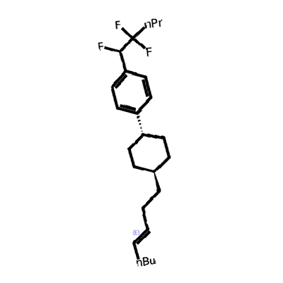 CCCC/C=C/CC[C@H]1CC[C@H](c2ccc(C(F)C(F)(F)CCC)cc2)CC1